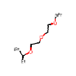 CCCOCCOCCOC(CC)C(C)C